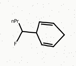 CCCC(F)C1C=CCC=C1